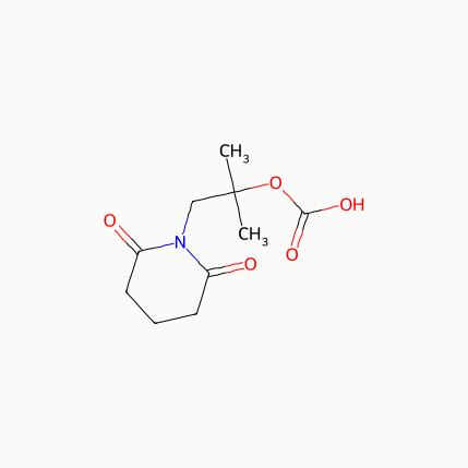 CC(C)(CN1C(=O)CCCC1=O)OC(=O)O